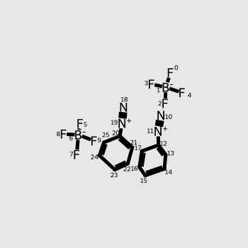 F[B-](F)(F)F.F[B-](F)(F)F.N#[N+]c1ccccc1.N#[N+]c1ccccc1